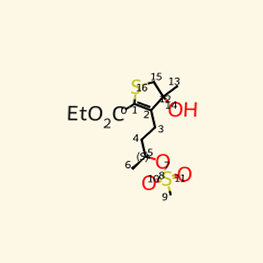 CCOC(=O)C1=C(CC[C@H](C)OS(C)(=O)=O)C(C)(O)CS1